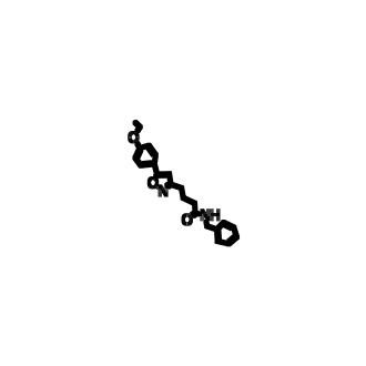 CCOc1ccc(-c2cc(CCCC(=O)NCc3ccccc3)no2)cc1